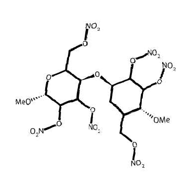 CO[C@@H]1OC(CO[N+](=O)[O-])[C@@H](O[C@@H]2CC(CO[N+](=O)[O-])[C@@H](OC)C(O[N+](=O)[O-])C2O[N+](=O)[O-])C(O[N+](=O)[O-])C1O[N+](=O)[O-]